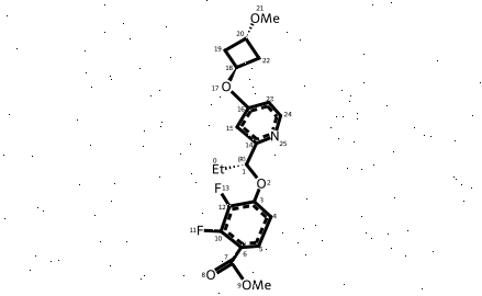 CC[C@@H](Oc1ccc(C(=O)OC)c(F)c1F)c1cc(O[C@H]2C[C@H](OC)C2)ccn1